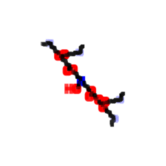 CC/C=C\CCCCOC(CCCCC(=O)OCCCCN(CCO)CCCCOC(=O)CCOCC(OCCCC/C=C\CC)OCCCC/C=C\CC)OCCCC/C=C\CC